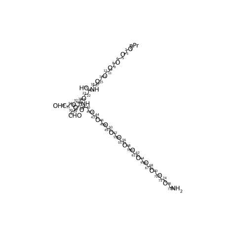 CCCOCCOCCOCCOCCOCCOCCNC(O)CCOCC(COCCC=O)(COCCC=O)NC(=O)CCOCCOCCOCCOCCOCCOCCOCCOCCOCCOCCOCCOCCN